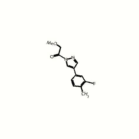 COCC(=O)n1cc(-c2ccc(C)c(F)c2)cn1